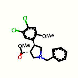 COC(=O)[C@H]1CN(Cc2ccccc2)C[C@@H]1c1cc(Cl)c(Cl)cc1OC